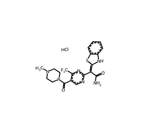 CN1CCN(C(=O)c2cnc(C(C(N)=O)=C3Nc4ccccc4S3)nc2C(F)(F)F)CC1.Cl